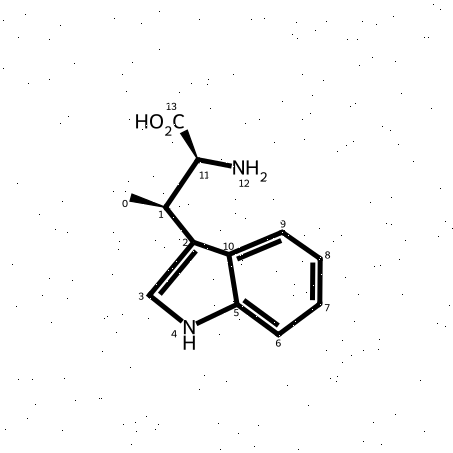 C[C@H](c1c[nH]c2ccccc12)[C@H](N)C(=O)O